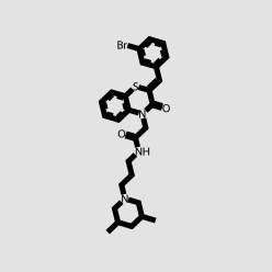 CC1CC(C)CN(CCCNC(=O)CN2C(=O)C(=Cc3cccc(Br)c3)Sc3ccccc32)C1